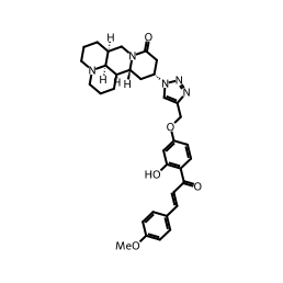 COc1ccc(/C=C/C(=O)c2ccc(OCc3cn([C@H]4CC(=O)N5C[C@@H]6CCCN7CCC[C@@H]([C@H]67)[C@H]5C4)nn3)cc2O)cc1